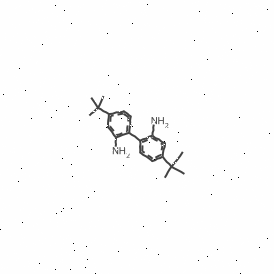 CC(C)(C)c1ccc(-c2ccc(C(C)(C)C)cc2N)c(N)c1